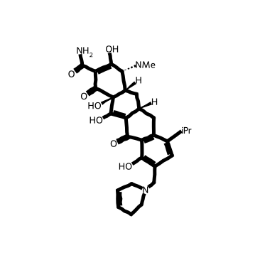 CN[C@H]1C(O)=C(C(N)=O)C(=O)[C@@]2(O)C(O)=C3C(=O)c4c(O)c(CN5CC=CCC5)cc(C(C)C)c4C[C@H]3C[C@@H]12